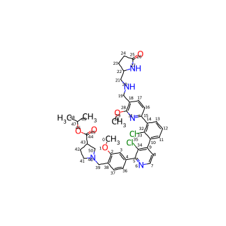 COc1cc(-c2nccc(-c3cccc(-c4ccc(CNCC5CCC(=O)N5)c(OC)n4)c3Cl)c2Cl)ccc1CN1CCC(C(=O)OC(C)C)C1